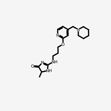 CC1NC(NCCCOc2cc(CN3CCCCC3)ccn2)=NC1=O